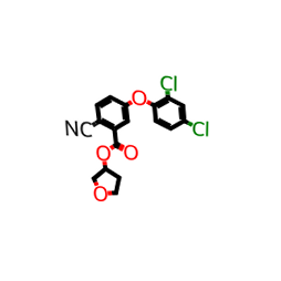 N#Cc1ccc(Oc2ccc(Cl)cc2Cl)cc1C(=O)OC1CCOC1